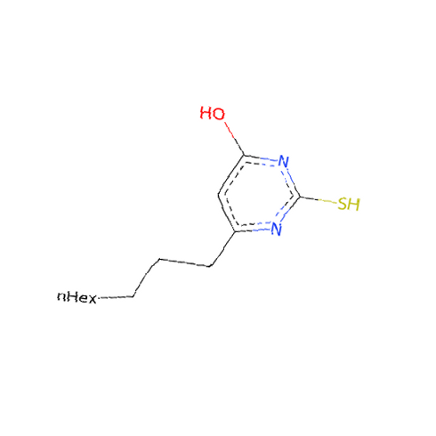 CCCCCCCCCc1cc(O)nc(S)n1